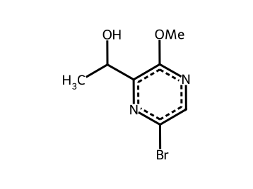 COc1ncc(Br)nc1C(C)O